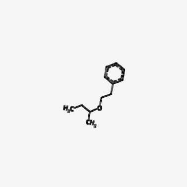 CCC(C)OCCc1ccccc1